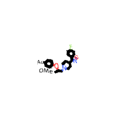 COc1cc(C(C)=O)ccc1OC(C)CN1CCC(c2noc3cc(F)ccc23)CC1